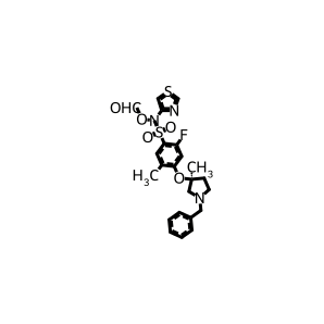 Cc1cc(S(=O)(=O)N(OC=O)c2cscn2)c(F)cc1O[C@@]1(C)CCN(Cc2ccccc2)C1